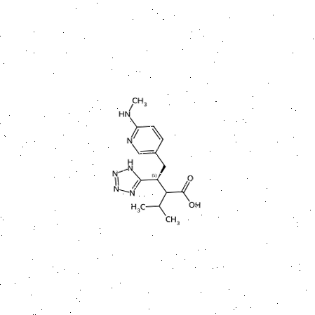 CNc1ccc(C[C@H](c2nnn[nH]2)C(C(=O)O)C(C)C)cn1